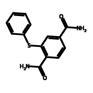 NC(=O)c1ccc(C(N)=O)c(Sc2ccccc2)c1